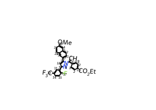 CCOC(=O)c1ccc([C@H](C)n2nc(-c3cc(C(F)(F)F)ccc3F)cc2-c2ccc3cc(OC)ccc3c2)cc1